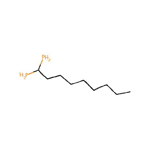 CCCCCCCCC(P)P